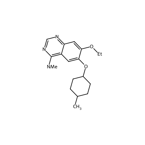 CCOc1cc2ncnc(NC)c2cc1OC1CCC(C)CC1